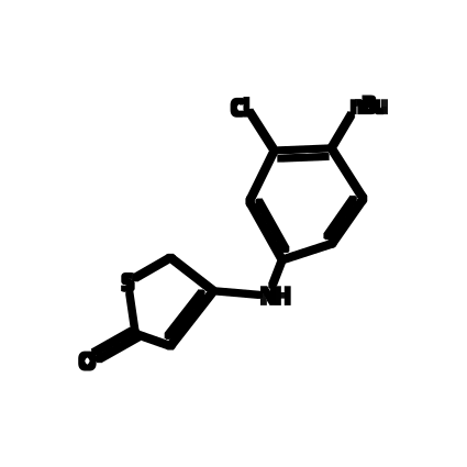 CCCCc1ccc(NC2=CC(=O)SC2)cc1Cl